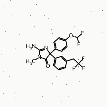 CN1C(=O)C(c2ccc(OC(F)F)cc2)(c2cccc(CC(F)(F)F)c2)N=C1N